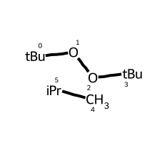 CC(C)(C)OOC(C)(C)C.CC(C)C